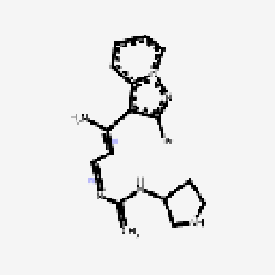 C=C(/N=C\C=C(/N)c1c(C(C)C)nn2ccccc12)NC1CCNC1